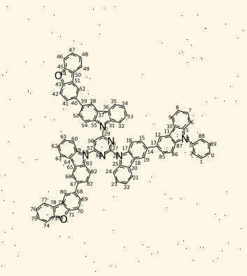 c1ccc(-n2c3ccccc3c3cc(-c4ccc5c(c4)c4ccccc4n5-c4nc(-n5c6ccccc6c6cc(-c7ccc8oc9ccccc9c8c7)ccc65)cc(-n5c6ccccc6c6cc(-c7ccc8oc9ccccc9c8c7)ccc65)n4)ccc32)cc1